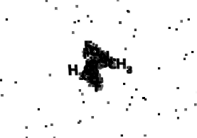 CCc1nc(-c2ccc(F)c(F)c2)c(-c2ccnc(N=S(C)(=O)c3ccc(F)cc3)c2)s1